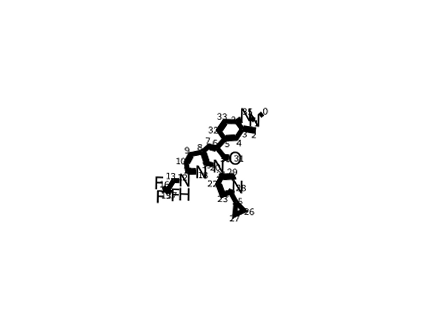 Cn1cc2cc(-c3cc4ccc(NCC(F)(F)F)nc4n(-c4ccc(C5CC5)nc4)c3=O)ccc2n1